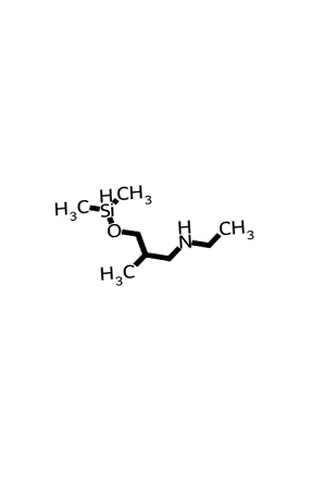 CCNCC(C)CO[SiH](C)C